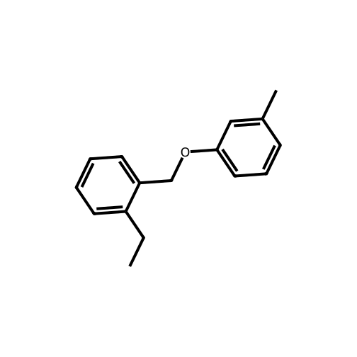 CCc1ccccc1COc1cccc(C)c1